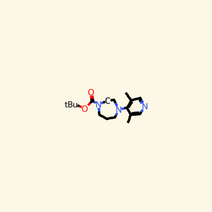 Cc1cncc(C)c1N1CCCN(C(=O)OC(C)(C)C)CC1